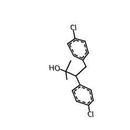 CC(C)(O)C(Cc1ccc(Cl)cc1)c1ccc(Cl)cc1